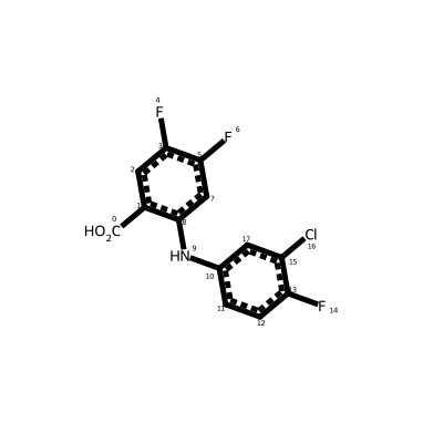 O=C(O)c1cc(F)c(F)cc1Nc1ccc(F)c(Cl)c1